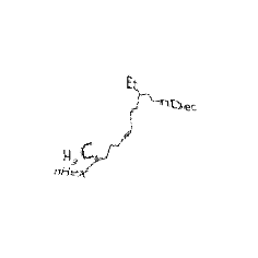 [CH2]CCCCCCCCCCCC(CC)CCC#CCCCC(C)CCCCC[CH2]